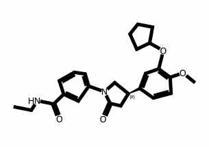 CCNC(=O)c1cccc(N2C[C@@H](c3ccc(OC)c(OC4CCCC4)c3)CC2=O)c1